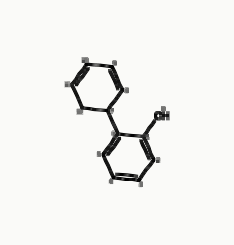 Oc1ccccc1C1C=CC=CC1